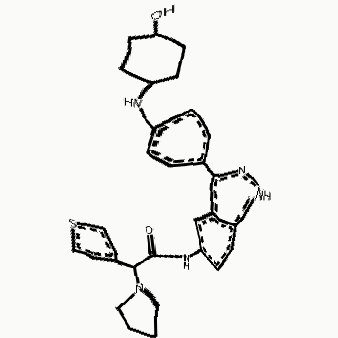 O=C(Nc1ccc2[nH]nc(-c3ccc(NC4CCC(O)CC4)cc3)c2c1)C(c1ccsc1)N1CCCC1